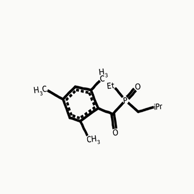 CCP(=O)(CC(C)C)C(=O)c1c(C)cc(C)cc1C